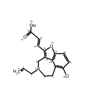 C=CCN1CCc2c(Cl)ccc3oc(C=CC(=O)O)c(c23)C1